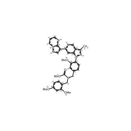 COC(=O)N(Cc1ccc(-n2nc(C)c3cnc(-c4cnn5cccnc45)cc32)c(OC)c1)Cc1ccc(OC)cc1OC